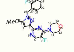 COc1cc(-c2ncc(F)c(N3CCOCC3)n2)nn1Cc1ccccc1F